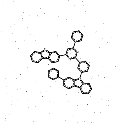 c1ccc(-c2ccc3c4ccccc4n(-c4cccc(-c5nc(-c6ccccc6)cc(-c6ccc7c(c6)oc6ccccc67)n5)c4)c3c2)cc1